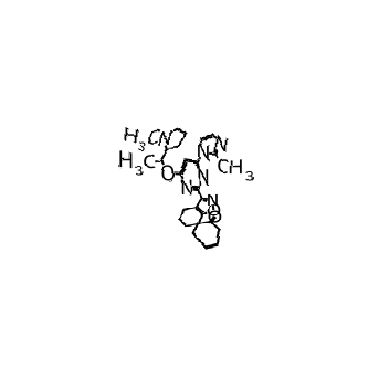 Cc1nccn1-c1cc(O[C@@H](C)[C@@H]2CCCN2C)nc(-c2noc3c2CCC[C@@]32CCCCC2=O)n1